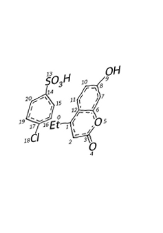 CCc1cc(=O)oc2cc(O)ccc12.O=S(=O)(O)c1ccc(Cl)cc1